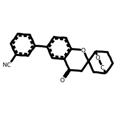 N#Cc1cccc(-c2ccc3c(c2)C(=O)CC2(CC4CCC2OC4)O3)c1